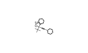 CC(C)(C)C(C#Cc1ccccc1)(O[SiH3])c1ccccc1